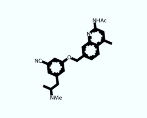 CNC(C)Cc1cc(C#N)cc(OCc2ccc3c(C)cc(NC(C)=O)nc3c2)c1